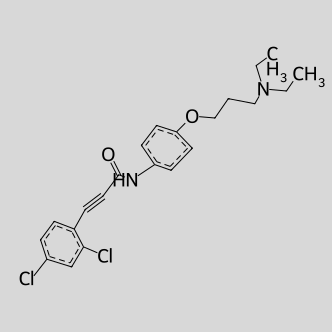 CCN(CC)CCCOc1ccc(NC(=O)C#Cc2ccc(Cl)cc2Cl)cc1